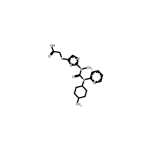 CC1CCC(N(C(=O)N(C)c2ncc(SCC(=O)O)s2)c2ccccn2)CC1